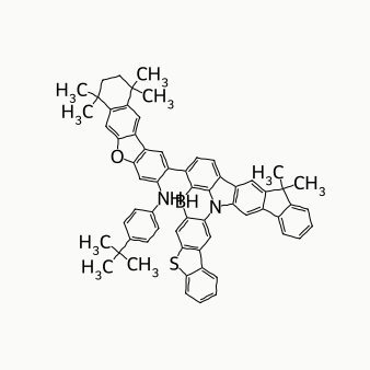 CC(C)(C)c1ccc(Nc2cc3oc4cc5c(cc4c3cc2-c2ccc3c4cc6c(cc4n4c3c2Bc2cc3sc7ccccc7c3cc2-4)-c2ccccc2C6(C)C)C(C)(C)CCC5(C)C)cc1